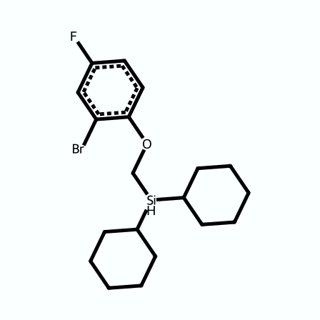 Fc1ccc(OC[SiH](C2CCCCC2)C2CCCCC2)c(Br)c1